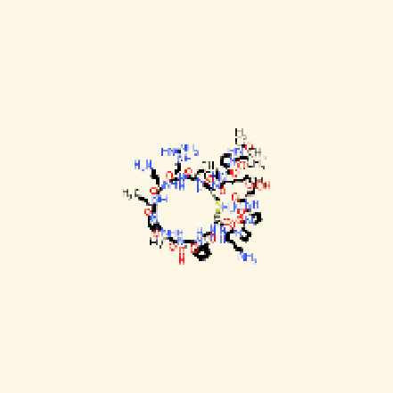 CCCCC[C@H](NC(=O)[C@@H]1CCCN1C(=O)[C@@H](NC(C)=O)C(C)C)C(=O)NC1CCSSC[C@@H](C(=O)NC(CCCCN)C(=O)N2CCC[C@H]2C(=O)N2CCC[C@H]2C(=O)N[C@@H](CCC(=O)O)C(N)=O)NC(=O)[C@H](Cc2ccccc2)NC(=O)[C@H](CO)NC(=O)C(C)NC(=O)[C@@H]2CCCN2C(=O)[C@H](CCCC)NC(=O)[C@H](CCCCN)NC(=O)[C@H](CCCNC(=N)N)NC(=O)[C@H](CC(C)C)NC1=O